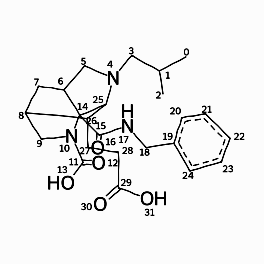 CC(C)CN1CC2CC3CN(C(=O)O)C2(C(=O)NCc2ccccc2)C1C3CCC(=O)O